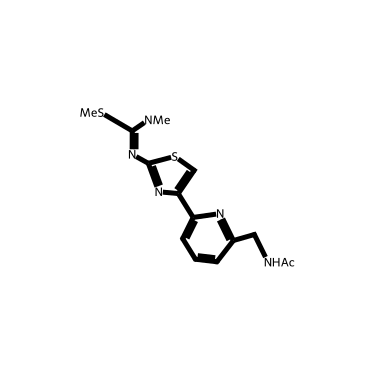 CN/C(=N\c1nc(-c2cccc(CNC(C)=O)n2)cs1)SC